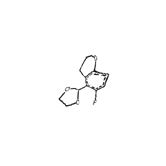 Fc1ccc2c(c1C1OCCO1)CCO2